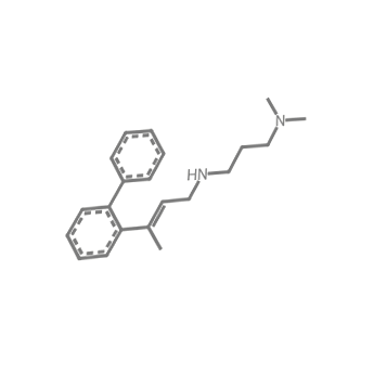 CC(=CCNCCCN(C)C)c1ccccc1-c1ccccc1